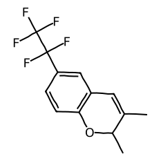 CC1=Cc2cc(C(F)(F)C(F)(F)F)ccc2OC1C